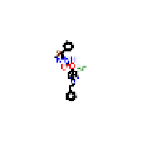 O=C(Nc1ncsc1-c1ccccc1)OC12CC[N+](CCc3ccccc3)(CC1)CC2.[Br-]